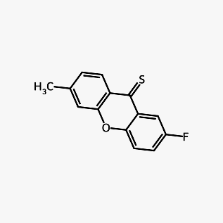 Cc1ccc2c(=S)c3cc(F)ccc3oc2c1